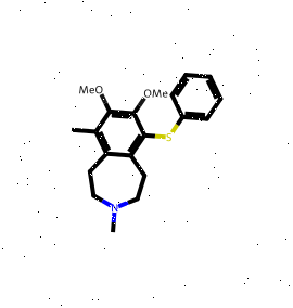 COc1c(C)c2c(c(Sc3ccccc3)c1OC)CCN(C)CC2